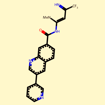 CN/C(=C\C(=N)C(F)(F)F)NC(=O)c1ccc2cc(-c3cccnc3)cnc2c1